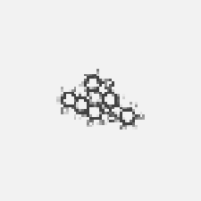 c1ccc2c(-c3cccc4oc5cc6c(cc5c34)oc3ccccc36)c3ccccc3cc2c1